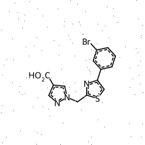 O=C(O)c1cnn(Cc2nc(-c3cccc(Br)c3)cs2)c1